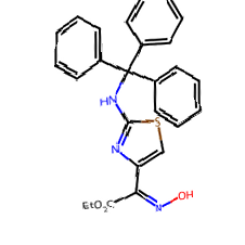 CCOC(=O)/C(=N/O)c1csc(NC(c2ccccc2)(c2ccccc2)c2ccccc2)n1